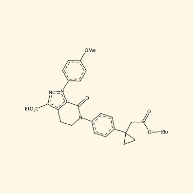 CCOC(=O)c1nn(-c2ccc(OC)cc2)c2c1CCN(c1ccc(C3(CC(=O)OC(C)(C)C)CC3)cc1)C2=O